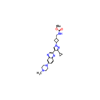 CN1CCN(c2ccc3nc(-c4cn(C5CC(CNC(=O)OC(C)(C)C)C5)nc4C4CC4)cnc3c2)CC1